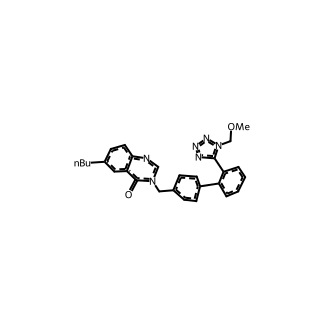 CCCCc1ccc2ncn(Cc3ccc(-c4ccccc4-c4nnnn4COC)cc3)c(=O)c2c1